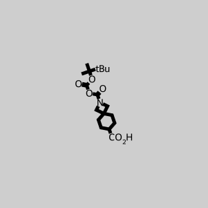 CC(C)(C)C(C)(C)OC(=O)OC(=O)N1CC2(CCC(C(=O)O)CC2)C1